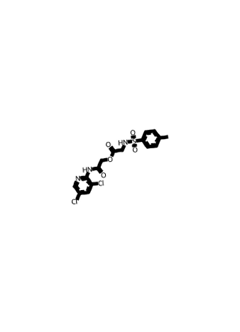 Cc1ccc(S(=O)(=O)NCC(=O)OCC(=O)Nc2ncc(Cl)cc2Cl)cc1